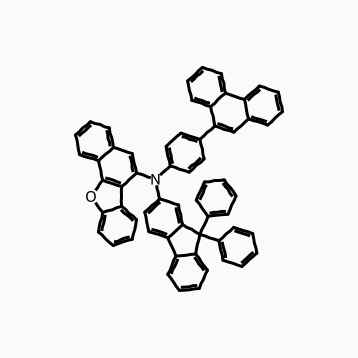 c1ccc(C2(c3ccccc3)c3ccccc3-c3ccc(N(c4ccc(-c5cc6ccccc6c6ccccc56)cc4)c4cc5ccccc5c5oc6ccccc6c45)cc32)cc1